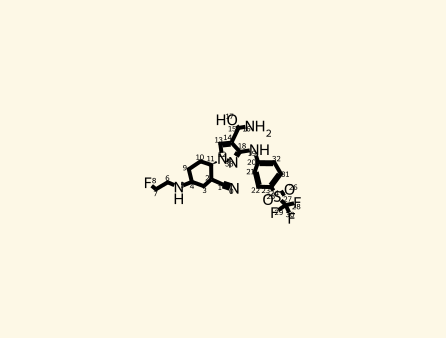 N#CC1CC(NCCF)CC[C@@H]1n1cc(C(N)O)c(Nc2ccc(S(=O)(=O)C(F)(F)F)cc2)n1